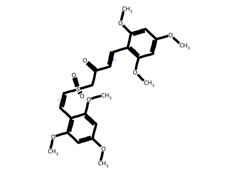 COc1cc(OC)c(/C=C\S(=O)(=O)CC(=O)/C=C/c2c(OC)cc(OC)cc2OC)c(OC)c1